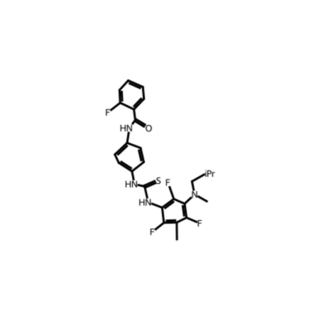 Cc1c(F)c(NC(=S)Nc2ccc(NC(=O)c3ccccc3F)cc2)c(F)c(N(C)CC(C)C)c1F